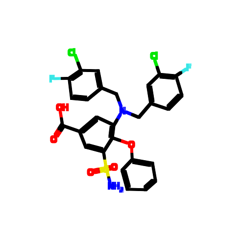 NS(=O)(=O)c1cc(C(=O)O)cc(N(Cc2ccc(F)c(Cl)c2)Cc2ccc(F)c(Cl)c2)c1Oc1ccccc1